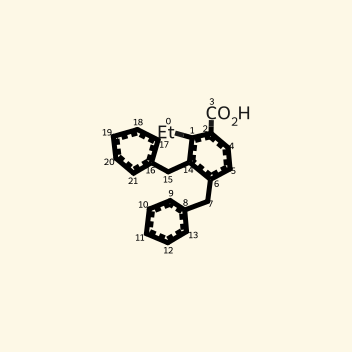 CCc1c(C(=O)O)ccc(Cc2ccccc2)c1Cc1ccccc1